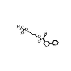 CC(=O)OCCCCCOC(=O)C(C#N)=C1C=C(c2ccccc2)CCC1